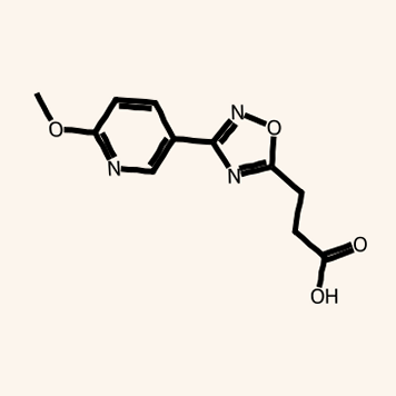 COc1ccc(-c2noc(CCC(=O)O)n2)cn1